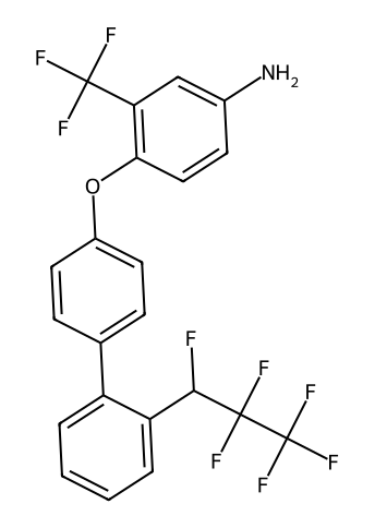 Nc1ccc(Oc2ccc(-c3ccccc3C(F)C(F)(F)C(F)(F)F)cc2)c(C(F)(F)F)c1